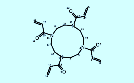 C=CC(=O)N1CCN(C(=O)C=C)CCN(C(=O)C=C)CCN(C(=O)C=C)CC1